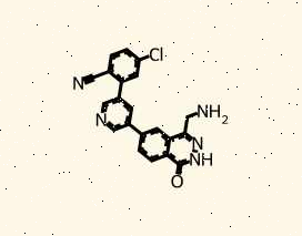 N#Cc1ccc(Cl)cc1-c1cncc(-c2ccc3c(=O)[nH]nc(CN)c3c2)c1